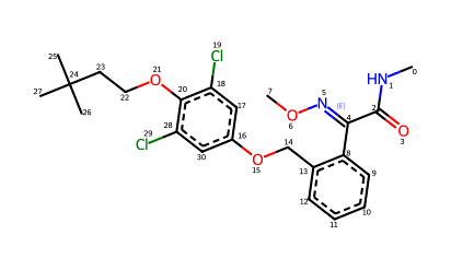 CNC(=O)/C(=N/OC)c1ccccc1COc1cc(Cl)c(OCCC(C)(C)C)c(Cl)c1